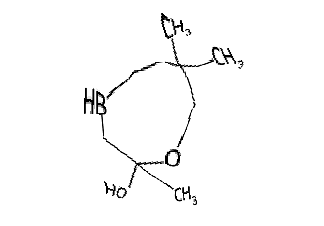 CC1(C)CBCC(C)(O)OC1